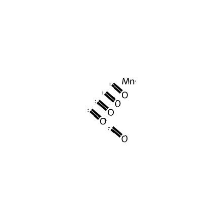 [C]=O.[C]=O.[C]=O.[C]=O.[C]=O.[Mn]